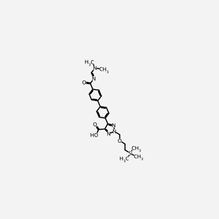 CN(C)/C=N/C(=O)c1ccc(-c2ccc(-c3nn(COCC[Si](C)(C)C)nc3C(=O)O)cc2)cc1